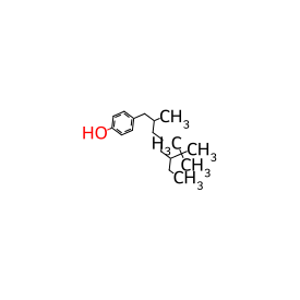 CCC(CCCC(C)Cc1ccc(O)cc1)C(C)(C)C